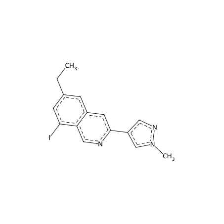 CCc1cc(I)c2cnc(-c3cnn(C)c3)cc2c1